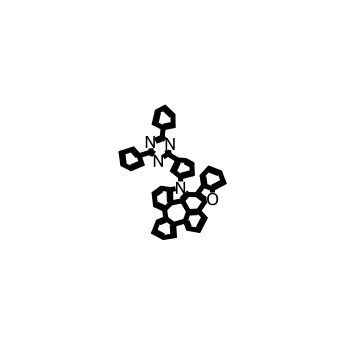 c1ccc(-c2nc(-c3ccccc3)nc(-c3cccc(-n4c5cccc6c5c5c7c(cccc7c7oc8ccccc8c7c54)-c4ccccc4-6)c3)n2)cc1